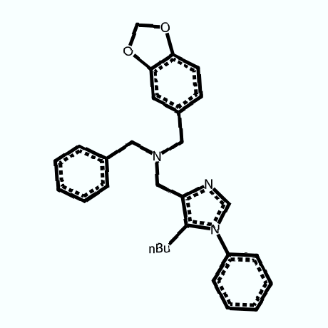 CCCCc1c(CN(Cc2ccccc2)Cc2ccc3c(c2)OCO3)ncn1-c1ccccc1